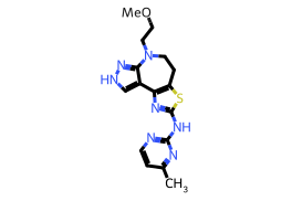 COCCN1CCc2sc(Nc3nccc(C)n3)nc2-c2c[nH]nc21